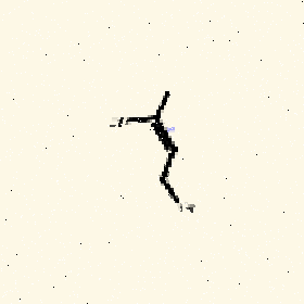 [CH2]/C(=C/CCCC)CC